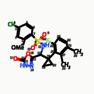 COc1cc(Cl)ccc1S(=O)(=O)N[C@H](c1n[nH]c(=O)o1)C1(c2c(F)ccc(C)c2C)CC1